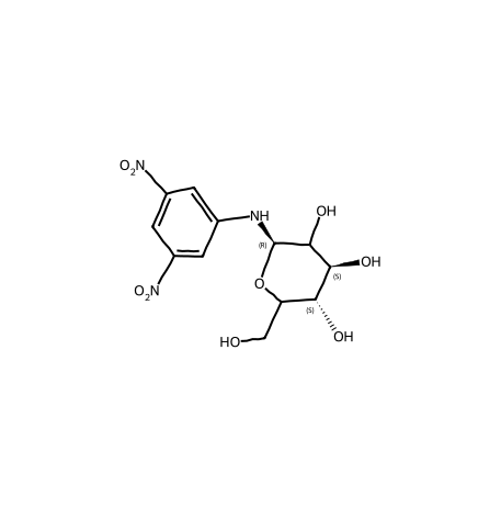 O=[N+]([O-])c1cc(N[C@@H]2OC(CO)[C@@H](O)[C@H](O)C2O)cc([N+](=O)[O-])c1